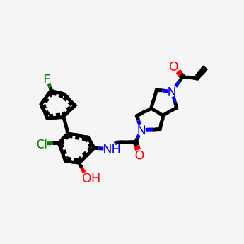 C=CC(=O)N1CC2CN(C(=O)CNc3cc(-c4ccc(F)cc4)c(Cl)cc3O)CC2C1